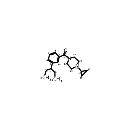 CCC(CC)c1cccc(C(=O)N2CCN(C3CC3)CC2)c1